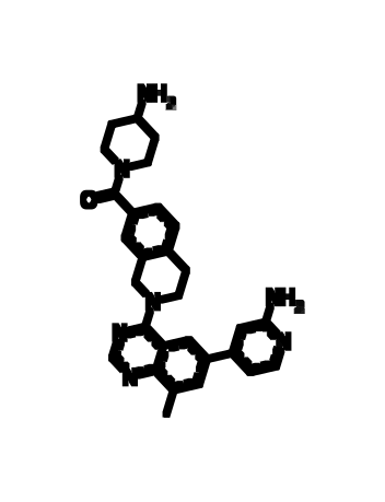 Cc1cc(-c2ccnc(N)c2)cc2c(N3CCc4ccc(C(=O)N5CCC(N)CC5)cc4C3)ncnc12